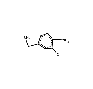 CCc1ccc(N)c(Cl)c1